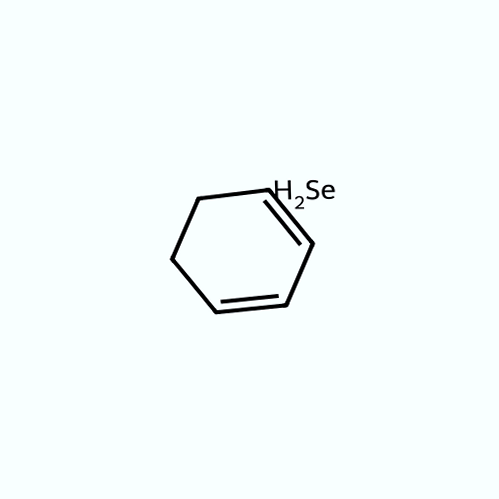 C1=CCCC=C1.[SeH2]